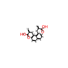 C=C(Cc1cccc2cccc(CC(=C)C(=O)O)c12)C(=O)O